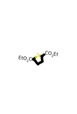 CCOC(=O)C1CCC(C(=O)OCC)S1